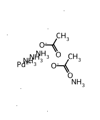 CC(=O)[O-].CC(=O)[O-].N.N.N.N.[Pd+2]